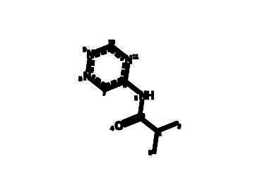 CC(C)C(=O)Nc1cnncn1